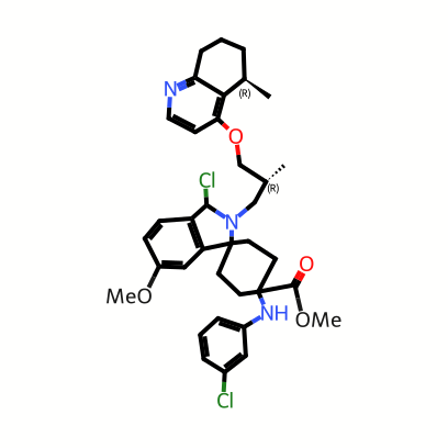 COC(=O)C1(Nc2cccc(Cl)c2)CCC2(CC1)c1cc(OC)ccc1C(Cl)N2C[C@@H](C)COc1ccnc2c1[C@H](C)CCC2